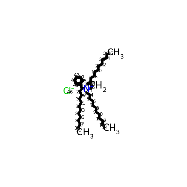 C=C[N+](CCCCCCCCCCCC)(CCCCCCCCCCCC)C(CCCCCCCCCCCC)c1ccccc1.[Cl-]